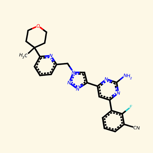 CC1(c2cccc(Cn3cc(-c4cc(-c5cccc(C#N)c5F)nc(N)n4)nn3)n2)CCOCC1